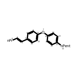 CCCC=Cc1ccc(Oc2ccc(CCCCC)cc2)cc1